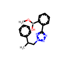 COB(O)c1ccccc1-c1nnn(CC(C)c2ccccc2)n1